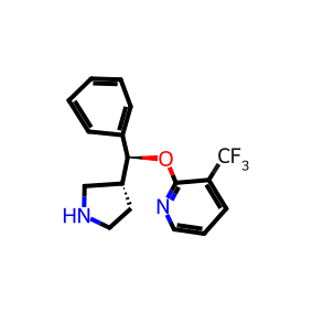 FC(F)(F)c1cccnc1O[C@H](c1ccccc1)[C@@H]1CCNC1